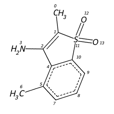 CC1=C(N)c2c(C)cccc2S1(=O)=O